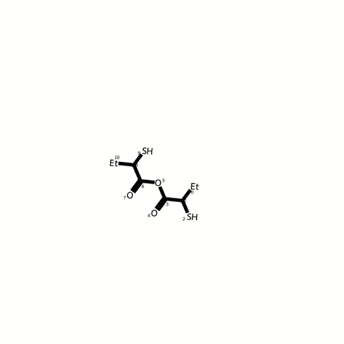 CCC(S)C(=O)OC(=O)C(S)CC